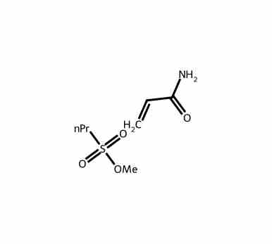 C=CC(N)=O.CCCS(=O)(=O)OC